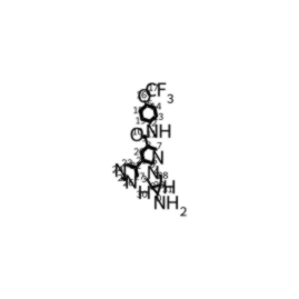 N[C@H]1[C@H]2CN(c3ncc(C(=O)Nc4ccc(OC(F)(F)F)cc4)cc3-c3cncnc3)C[C@@H]12